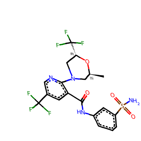 C[C@H]1CN(c2ncc(C(F)(F)F)cc2C(=O)Nc2cccc(S(N)(=O)=O)c2)C[C@H](C(F)(F)F)O1